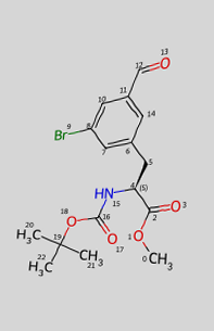 COC(=O)[C@H](Cc1cc(Br)cc(C=O)c1)NC(=O)OC(C)(C)C